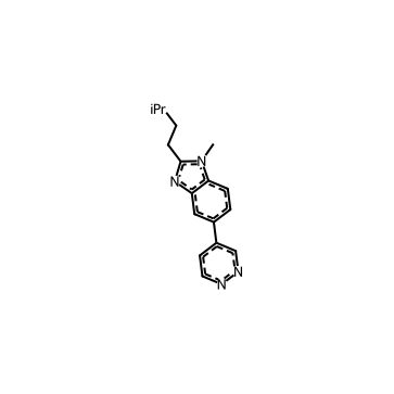 CC(C)CCc1nc2cc(-c3ccnnc3)ccc2n1C